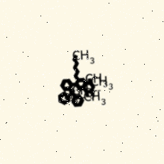 CCCCCCc1cc2c(cc1-c1ccccc1[P+](C)(c1ccccc1)c1ccccc1)C(C)(C)CCC2(C)C.[Br-]